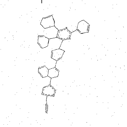 N#Cc1ccc(C2CC=C(C3=CCC(c4nc(C5=CC=CCC5)nc(C5CC=CCC5)c4C4C=CC=CC4)C=C3)C3C=CC=CC32)cc1